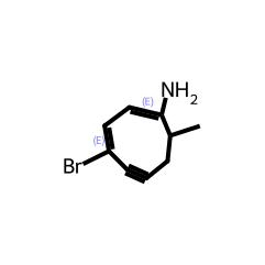 CC1CC#C/C(Br)=C\C=C/1N